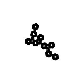 c1ccc(-c2ccc(-n3c4ccccc4c4ccc5c(c6ccccc6n5-c5ccc6c(c5)c5ccccc5n6-c5cccc(-c6ccccc6)c5)c43)cc2)cc1